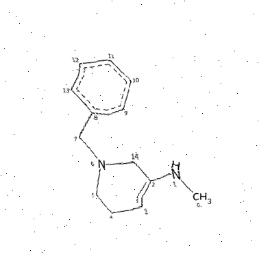 CNC1=CCCN(Cc2ccccc2)C1